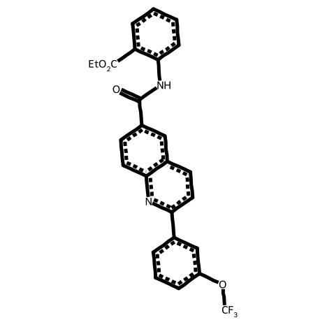 CCOC(=O)c1ccccc1NC(=O)c1ccc2nc(-c3cccc(OC(F)(F)F)c3)ccc2c1